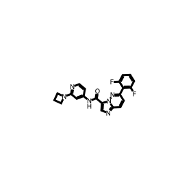 O=C(Nc1ccnc(N2CCC2)c1)c1cnc2ccc(-c3c(F)cccc3F)nn12